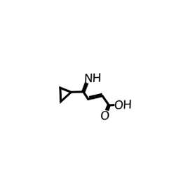 N=C(/C=C/C(=O)O)C1CC1